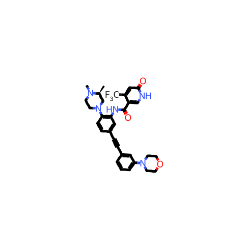 C[C@H]1CN(c2ccc(C#Cc3cccc(N4CCOCC4)c3)cc2NC(=O)c2c[nH]c(=O)cc2C(F)(F)F)CCN1C